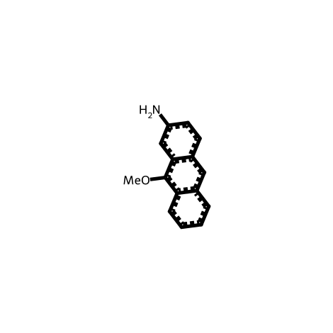 COc1c2ccccc2cc2ccc(N)cc12